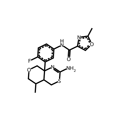 Cc1nc(C(=O)Nc2ccc(F)c(C34COCC(C)C3CSC(N)=N4)c2)co1